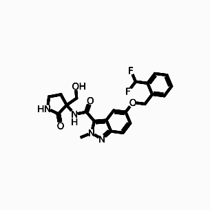 Cn1nc2ccc(OCc3ccccc3C(F)F)cc2c1C(=O)NC1(CO)CCNC1=O